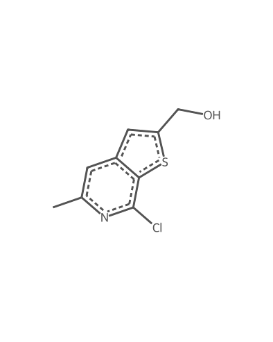 Cc1cc2cc(CO)sc2c(Cl)n1